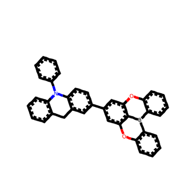 c1ccc(N2c3ccccc3Cc3cc(-c4cc5c6c(c4)Oc4ccccc4B6c4ccccc4O5)ccc32)cc1